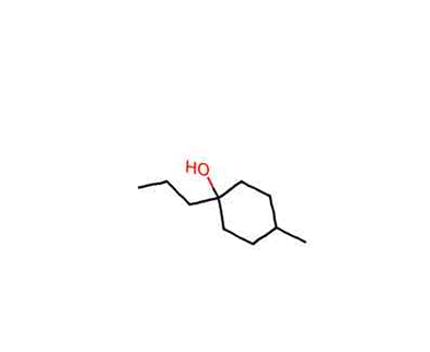 CCCC1(O)CCC(C)CC1